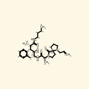 C=CCN1CCC[C@]12CCN([C@@H](C)C(=O)N[C@H](Cc1ccccc1)[C@H](O)C[C@H](C)C(=O)NCCCC)C2=O